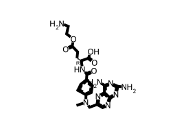 CN(Cc1cnc2nc(N)nc(N)c2n1)c1ccc(C(=O)N[C@H](CCC(=O)OCCN)C(=O)O)cc1